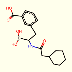 O=C(CC1CCCCC1)NC(Cc1cccc(C(=O)O)c1)B(O)O